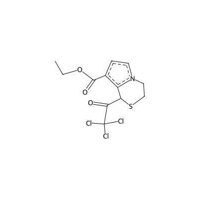 CCOC(=O)c1ccn2c1C(C(=O)C(Cl)(Cl)Cl)SCC2